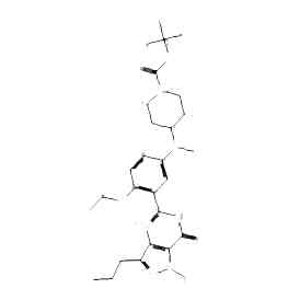 CCCc1nn(C)c2c(=O)[nH]c(-c3cc(N(C)C4CCN(C(=O)OC(C)(C)C)CC4)ccc3OCC)nc12